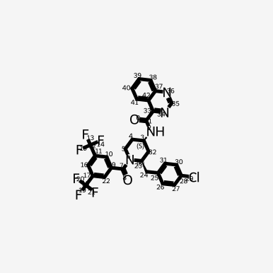 O=C(N[C@H]1CCN(C(=O)c2cc(C(F)(F)F)cc(C(F)(F)F)c2)[C@H](Cc2ccc(Cl)cc2)C1)c1ncnc2ccccc12